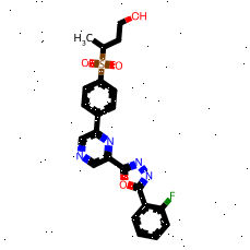 CC(CCO)S(=O)(=O)c1ccc(-c2cncc(-c3nnc(-c4ccccc4F)o3)n2)cc1